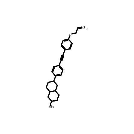 C=CCOc1ccc(C#Cc2ccc(C3CCC4CC(CCCC)CCC4C3)cc2)cc1